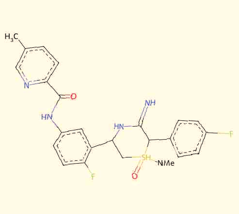 CN[SH]1(=O)CC(c2cc(NC(=O)c3ccc(C)cn3)ccc2F)NC(=N)C1c1ccc(F)cc1